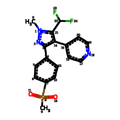 Cn1nc(-c2ccc(S(C)(=O)=O)cc2)c(-c2ccncc2)c1C(F)F